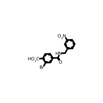 O=C(NCc1cccc([N+](=O)[O-])c1)c1ccc(C(=O)O)c(Br)c1